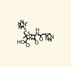 Cn1nnnc1SCC1(C)SC2C(NC(=O)Cn3cnnn3)C(=O)N2C1C(=O)O